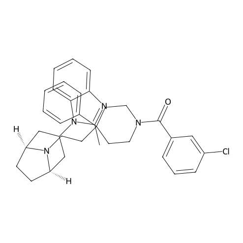 Cc1nc2ccccc2n1C1C[C@H]2CC[C@@H](C1)N2CCC1(c2ccccc2)CCN(C(=O)c2cccc(Cl)c2)CC1